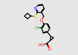 O=C(O)C1CC1c1ccc(OCc2cccnc2SC2CCC2)c(Cl)c1